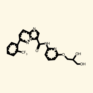 O=C(Nc1cccc(OCC(O)CO)n1)c1cnc2ccc(-c3ccccc3C(F)(F)F)nn12